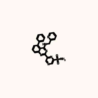 NS(=O)(=O)c1cncc(-c2nc(NCc3ccccn3)c3c(-c4ccccc4)cccc3n2)n1